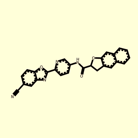 N#Cc1ccc2oc(-c3ccc(NC(=O)C4Cc5cc6ccccc6cc5O4)cn3)nc2c1